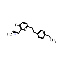 CCc1ccc(CCc2ccc(F)c(/C=N/O)n2)cc1